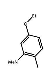 CCOc1ccc(C)c(NC)c1